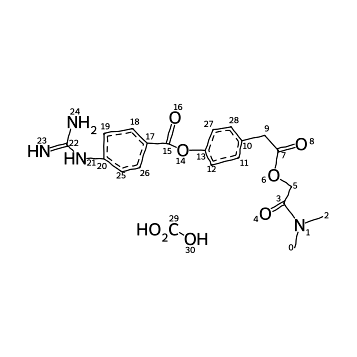 CN(C)C(=O)COC(=O)Cc1ccc(OC(=O)c2ccc(NC(=N)N)cc2)cc1.O=C(O)O